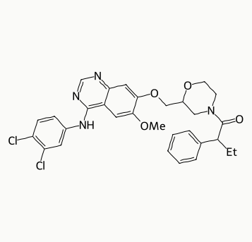 CCC(C(=O)N1CCOC(COc2cc3ncnc(Nc4ccc(Cl)c(Cl)c4)c3cc2OC)C1)c1ccccc1